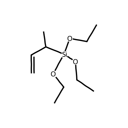 C=CC(C)[Si](OCC)(OCC)OCC